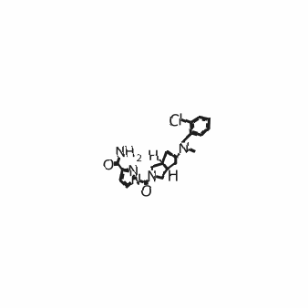 CN(Cc1ccccc1Cl)[C@H]1C[C@@H]2CN(C(=O)n3ccc(C(N)=O)n3)C[C@@H]2C1